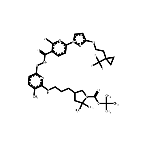 Cc1ccc(SNC(=O)c2ccc(-n3ccc(OCCC4(C(F)(F)F)CC4)n3)nc2Cl)nc1NCCCC1CN(C(=O)OC(C)(C)C)C(C)(C)C1